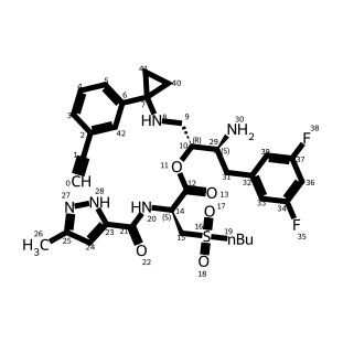 C#Cc1cccc(C2(NC[C@@H](OC(=O)[C@@H](CS(=O)(=O)CCCC)NC(=O)c3cc(C)n[nH]3)[C@@H](N)Cc3cc(F)cc(F)c3)CC2)c1